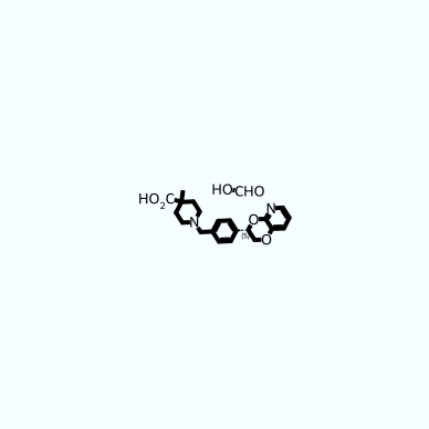 CC1(C(=O)O)CCN(Cc2ccc([C@H]3COc4cccnc4O3)cc2)CC1.O=CO